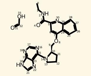 CCNC(=O)c1cc(OC[C@H]2CCCN2c2ncnc3[nH]cnc23)c2ccccc2n1.O=CO